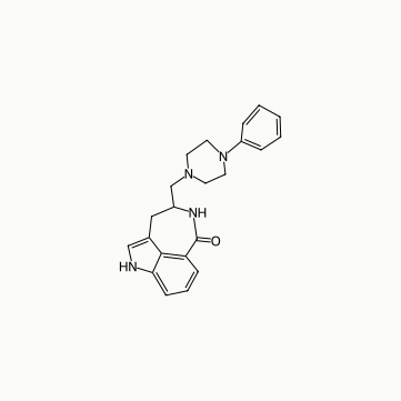 O=C1NC(CN2CCN(c3ccccc3)CC2)Cc2c[nH]c3cccc1c23